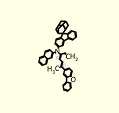 C=C/C(=C\C=C(/C)c1ccc2oc3ccccc3c2c1)N(c1ccc2c(c1)-c1ccccc1C21C2CC3CC(C2)CC1C3)c1ccc2ccccc2c1